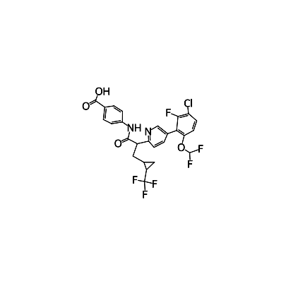 O=C(O)c1ccc(NC(=O)C(CC2CC2C(F)(F)F)c2ccc(-c3c(OC(F)F)ccc(Cl)c3F)cn2)cc1